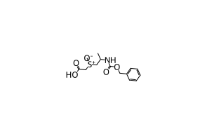 CC(C[S+]([O-])CC(=O)O)NC(=O)OCc1ccccc1